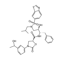 CC(C)CN(C[C@@H](O)[C@H](Cc1ccccc1)NC(=O)[C@@H]1CN(c2cccc(C(C)O)c2)C(=O)O1)S(=O)(=O)c1ccc2ncsc2c1